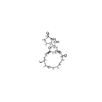 C[C@H]1CC[C@@H]2C[C@H](C[C@](O)(C3CSC(=O)N3)O2)OC(=O)CCCCOC1